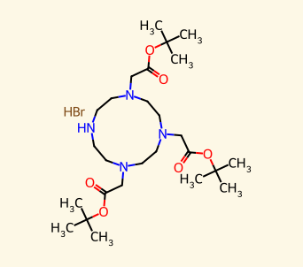 Br.CC(C)(C)OC(=O)CN1CCNCCN(CC(=O)OC(C)(C)C)CCN(CC(=O)OC(C)(C)C)CC1